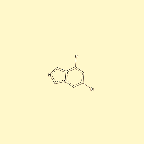 Clc1cc(Br)cn2cncc12